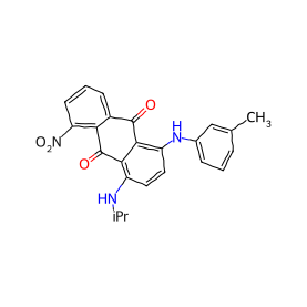 Cc1cccc(Nc2ccc(NC(C)C)c3c2C(=O)c2cccc([N+](=O)[O-])c2C3=O)c1